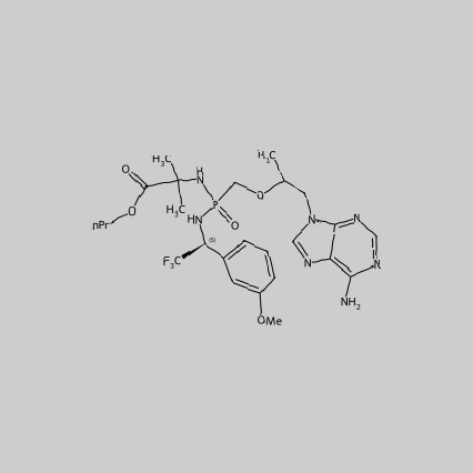 CCCOC(=O)C(C)(C)NP(=O)(COC(C)Cn1cnc2c(N)ncnc21)N[C@@H](c1cccc(OC)c1)C(F)(F)F